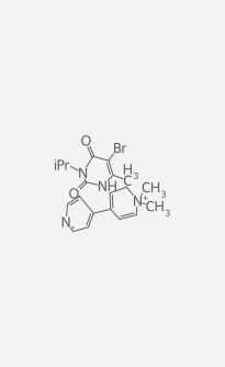 C[N+]1(C)C=CC(c2ccncc2)=CC1.Cc1[nH]c(=O)n(C(C)C)c(=O)c1Br